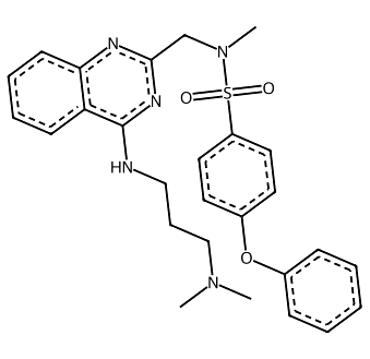 CN(C)CCCNc1nc(CN(C)S(=O)(=O)c2ccc(Oc3ccccc3)cc2)nc2ccccc12